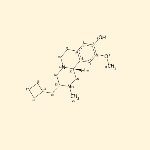 COc1cc2c(cc1O)CCN1C[C@@H](CC3CCC3)N(C)C[C@@H]21